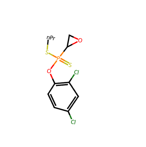 CCCSP(=S)(Oc1ccc(Cl)cc1Cl)C1CO1